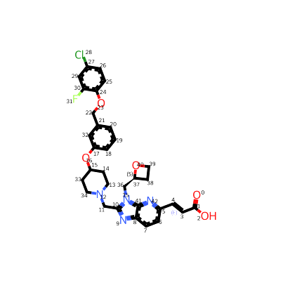 O=C(O)/C=C/c1ccc2nc(CN3CCC(Oc4cccc(COc5ccc(Cl)cc5F)c4)CC3)n(C[C@@H]3CCO3)c2n1